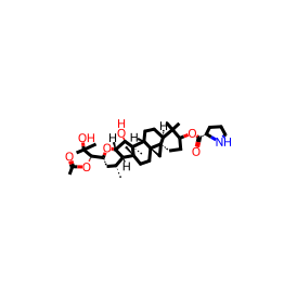 CC(=O)O[C@@H]([C@H]1C[C@@H](C)[C@H]2[C@H](O1)[C@H](O)[C@@]1(C)[C@@H]3CC[C@H]4C(C)(C)C(OC(=O)[C@@H]5CCCN5)CC[C@@]45C[C@@]35CC[C@]21C)C(C)(C)O